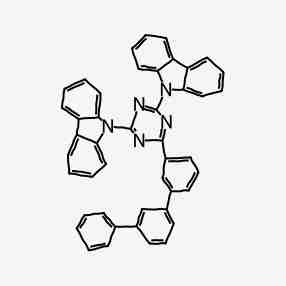 c1ccc(-c2cccc(-c3cccc(-c4nc(-n5c6ccccc6c6ccccc65)nc(-n5c6ccccc6c6ccccc65)n4)c3)c2)cc1